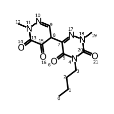 CCCCn1c(=O)c(C2C=NN(C)C(=O)C2=O)nn(C)c1=O